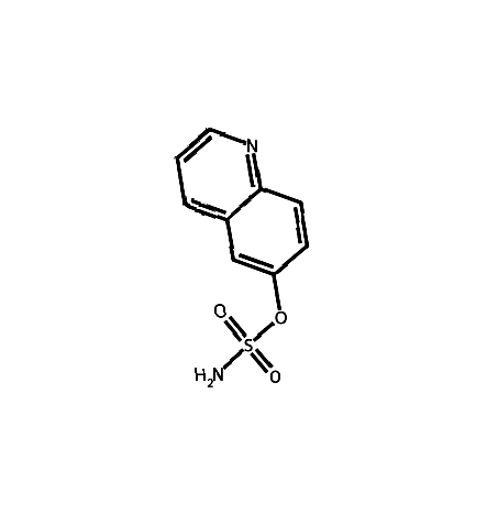 NS(=O)(=O)Oc1ccc2ncccc2c1